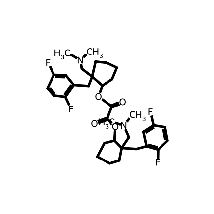 CN(C)CC1(Cc2cc(F)ccc2F)CCCCC1OC(=O)C(=O)OC1CCCCC1(Cc1cc(F)ccc1F)CN(C)C